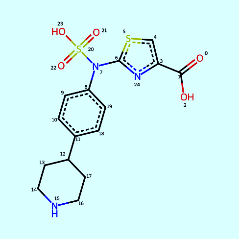 O=C(O)c1csc(N(c2ccc(C3CCNCC3)cc2)S(=O)(=O)O)n1